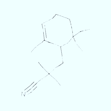 CC1=CCCC(C)(C)C1CC(C)(C)C#N